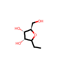 CCC1O[C@H](CO)[C@@H](O)[C@H]1O